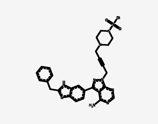 CCS(=O)(=O)N1CCN(CC#CCn2nc(-c3ccc4nc(Cc5ccccc5)[nH]c4c3)c3c(N)ncnc32)CC1